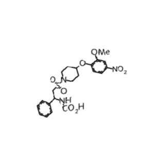 COc1cc([N+](=O)[O-])ccc1OC1CCN(S(=O)(=O)CC(NC(=O)O)c2ccccc2)CC1